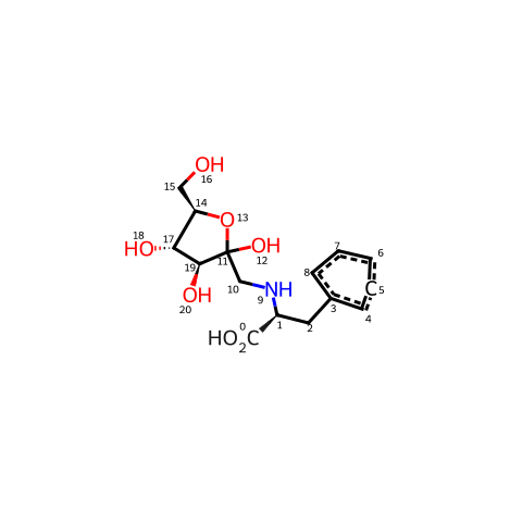 O=C(O)[C@H](Cc1ccccc1)NCC1(O)O[C@H](CO)[C@@H](O)[C@@H]1O